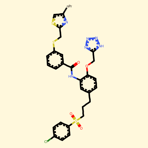 CCCc1csc(CSc2cccc(C(=O)Nc3cc(CCCS(=O)(=O)c4ccc(Cl)cc4)ccc3OCc3nnn[nH]3)c2)n1